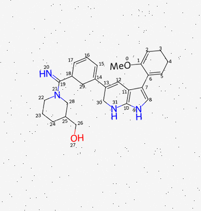 COC1=CCCC=C1c1c[nH]c2c1C=C(C1=CC=CC(C(=N)N3CCCC(CO)C3)C1)CN2